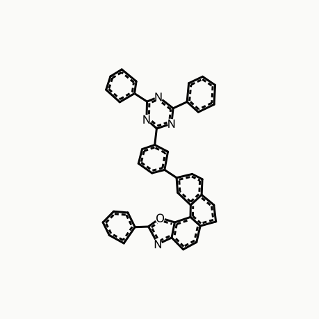 c1ccc(-c2nc(-c3ccccc3)nc(-c3cccc(-c4ccc5ccc6ccc7nc(-c8ccccc8)oc7c6c5c4)c3)n2)cc1